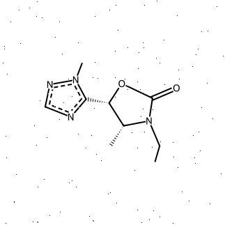 CCN1C(=O)O[C@@H](c2ncnn2C)[C@H]1C